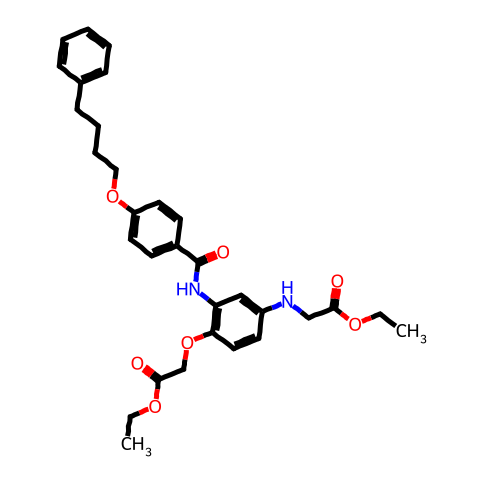 CCOC(=O)CNc1ccc(OCC(=O)OCC)c(NC(=O)c2ccc(OCCCCc3ccccc3)cc2)c1